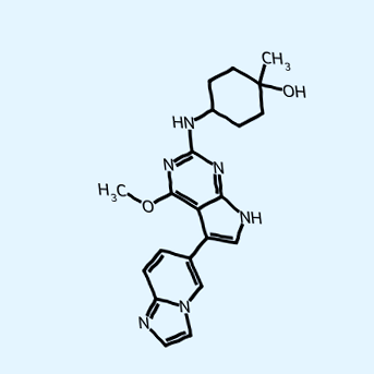 COc1nc(NC2CCC(C)(O)CC2)nc2[nH]cc(-c3ccc4nccn4c3)c12